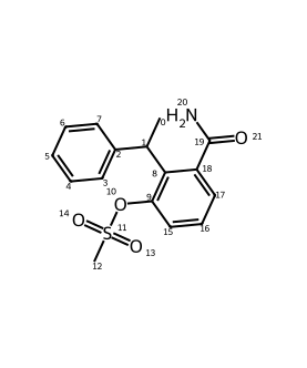 CC(c1ccccc1)c1c(OS(C)(=O)=O)cccc1C(N)=O